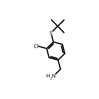 CC(C)(C)Sc1ccc(CN)cc1Cl